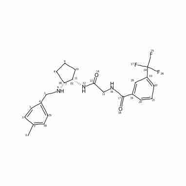 Cc1ccc(CN[C@@H]2CCC[C@@H]2NC(=O)CNC(=O)c2cccc(C(F)(F)F)c2)cc1